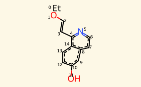 CCO/C=C/c1nccc2cc(O)ccc12